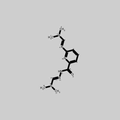 CN(C)C=Nc1cccc(C(=O)N/N=C/N(C)C)n1